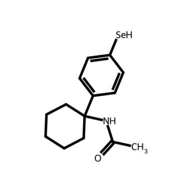 CC(=O)NC1(c2ccc([SeH])cc2)CCCCC1